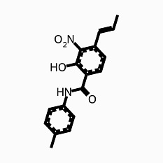 CC=Cc1ccc(C(=O)Nc2ccc(C)cc2)c(O)c1[N+](=O)[O-]